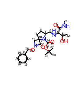 CNC(=O)C(NCC1CCC2(CN(OCc3ccccc3)C2=O)N1C(=O)OC(C)(C)C)C(C)O